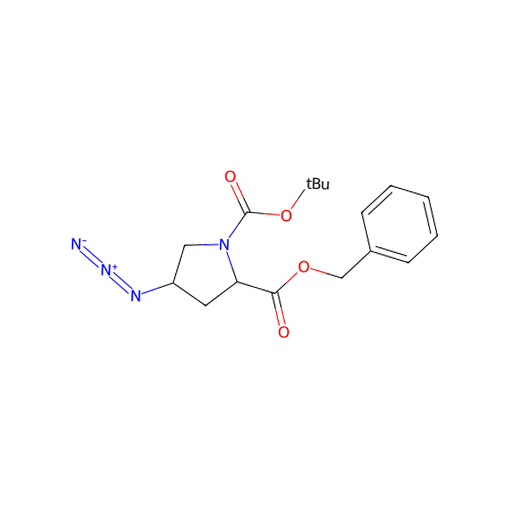 CC(C)(C)OC(=O)N1CC(N=[N+]=[N-])CC1C(=O)OCc1ccccc1